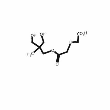 CC(CO)(CO)COC(=O)COCC(=O)O